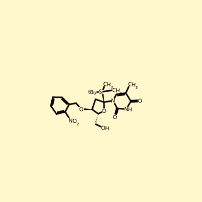 Cc1cn([C@@]2([Si](C)(C)C(C)(C)C)C[C@H](OCc3ccccc3[N+](=O)[O-])[C@@H](CO)O2)c(=O)[nH]c1=O